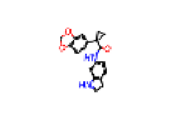 O=C(Nc1ccc2cc[nH]c2c1)C1(c2ccc3c(c2)OCO3)CC1